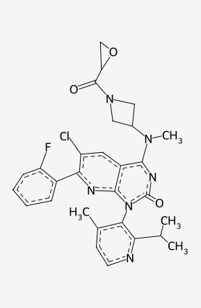 Cc1ccnc(C(C)C)c1-n1c(=O)nc(N(C)C2CN(C(=O)C3CO3)C2)c2cc(Cl)c(-c3ccccc3F)nc21